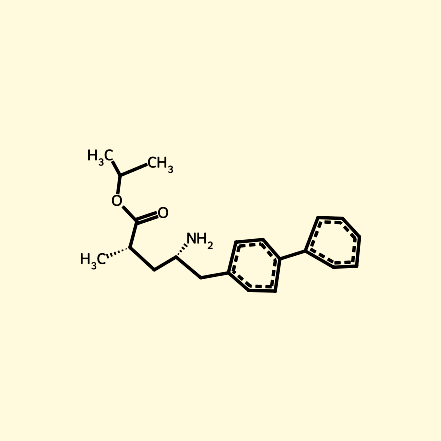 CC(C)OC(=O)[C@@H](C)C[C@H](N)Cc1ccc(-c2ccccc2)cc1